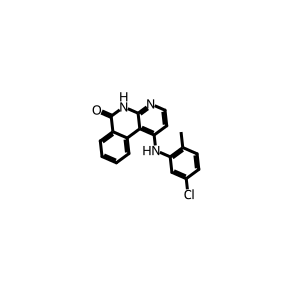 Cc1ccc(Cl)cc1Nc1ccnc2[nH]c(=O)c3ccccc3c12